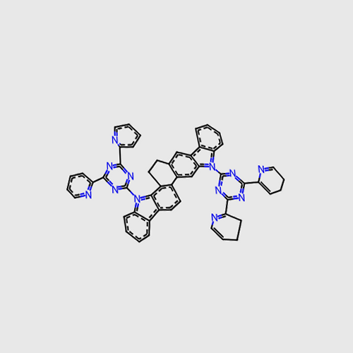 C1=CN=C(c2nc(C3=CCCC=N3)nc(-n3c4ccccc4c4cc5c(cc43)-c3ccc4c6ccccc6n(-c6nc(-c7ccccn7)nc(-c7ccccn7)n6)c4c3CC5)n2)CC1